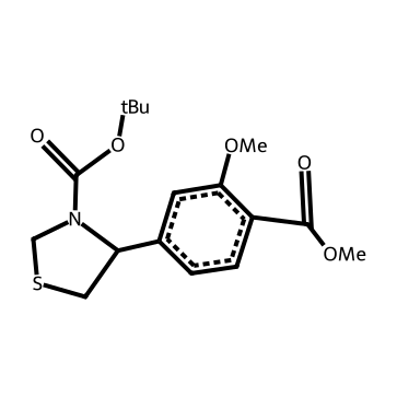 COC(=O)c1ccc(C2CSCN2C(=O)OC(C)(C)C)cc1OC